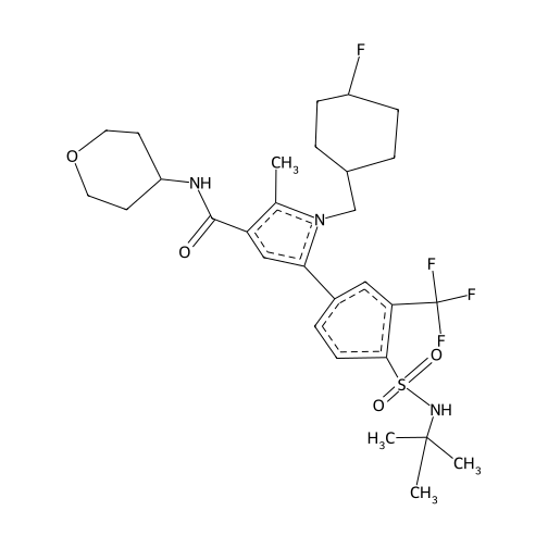 Cc1c(C(=O)NC2CCOCC2)cc(-c2ccc(S(=O)(=O)NC(C)(C)C)c(C(F)(F)F)c2)n1CC1CCC(F)CC1